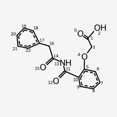 O=C(O)COc1ccccc1C(=O)NC(=O)Cc1ccccc1